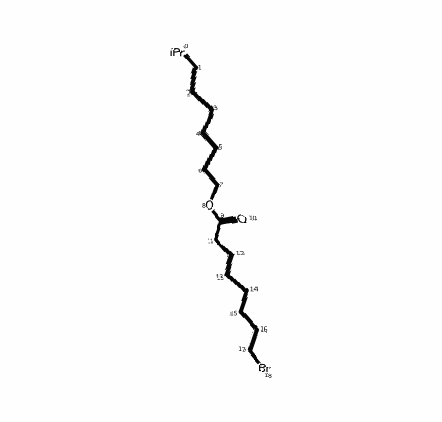 CC(C)CCCCCCCOC(=O)CCCCCCCBr